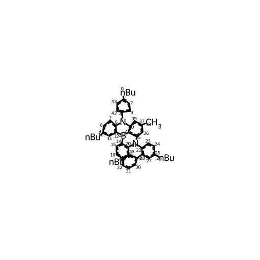 CCCCc1ccc(N2c3ccc(CCCC)cc3B3c4ccc(CCCC)cc4N(c4ccc(CCCC)cc4-c4ccccc4)c4cc(C)cc2c43)cc1